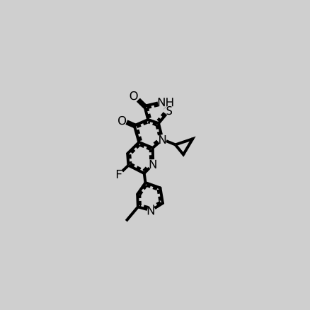 Cc1cc(-c2nc3c(cc2F)c(=O)c2c(=O)[nH]sc2n3C2CC2)ccn1